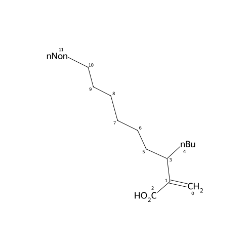 C=C(C(=O)O)C(CCCC)CCCCCCCCCCCCCCC